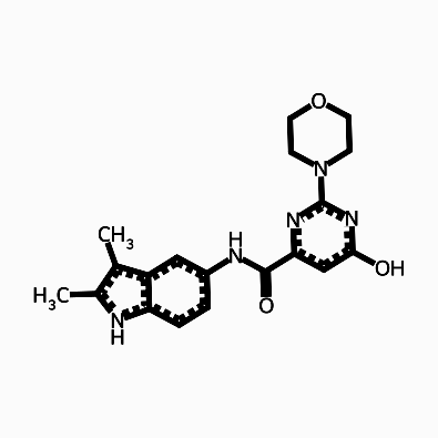 Cc1[nH]c2ccc(NC(=O)c3cc(O)nc(N4CCOCC4)n3)cc2c1C